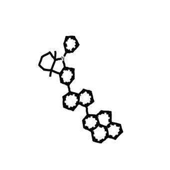 CC12CCCCC1(C)N(c1ccccc1)c1ccc(-c3cccc4c(-c5ccc6ccc7cccc8ccc5c6c78)cccc34)cc12